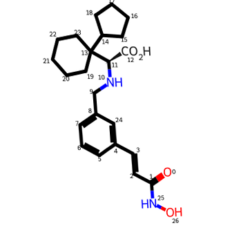 O=C(C=Cc1cccc(CN[C@H](C(=O)O)C2(C3CCCC3)CCCCC2)c1)NO